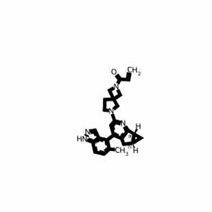 C=CC(=O)N1CC2(CCN(c3cc(-c4c(C)ccc5[nH]ncc45)c4c(n3)[C@@H]3C[C@H]3C4)C2)C1